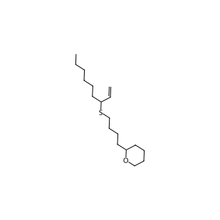 C=CC(CCCCCC)SCCCCC1CCCCO1